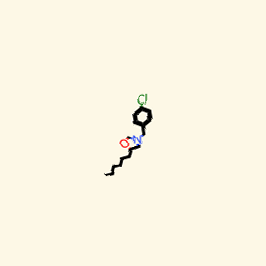 CCCCCCC1CN(Cc2ccc(Cl)cc2)CO1